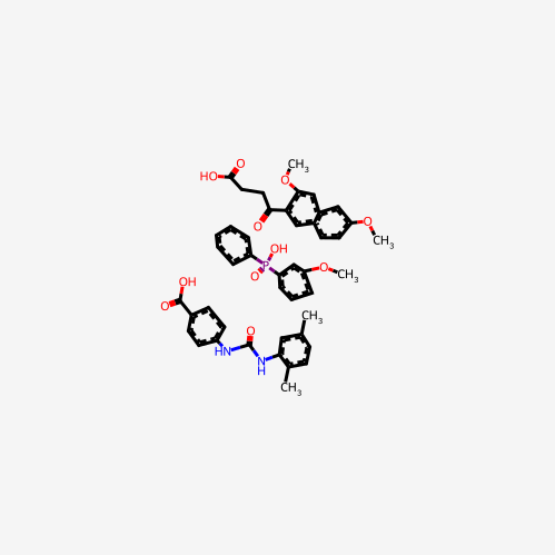 COc1ccc2cc(C(=O)CCC(=O)O)c(OC)cc2c1.COc1cccc(P(=O)(O)c2ccccc2)c1.Cc1ccc(C)c(NC(=O)Nc2ccc(C(=O)O)cc2)c1